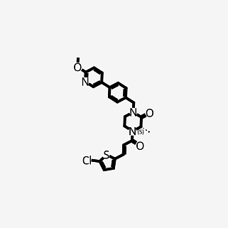 COc1ccc(-c2ccc(CN3CCN(C(=O)C=Cc4ccc(Cl)s4)[C@@H](C)C3=O)cc2)cn1